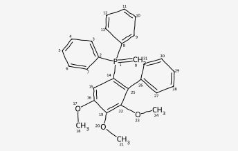 C=P(c1ccccc1)(c1ccccc1)c1cc(OC)c(OC)c(OC)c1-c1ccccc1